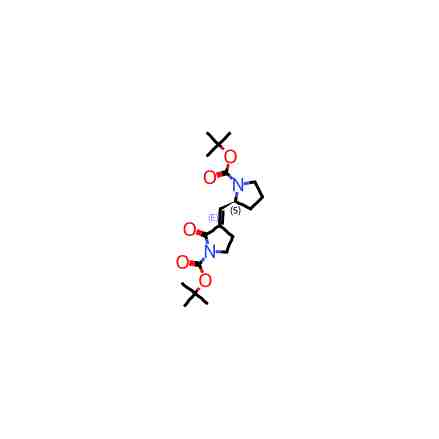 CC(C)(C)OC(=O)N1CC/C(=C\[C@@H]2CCCN2C(=O)OC(C)(C)C)C1=O